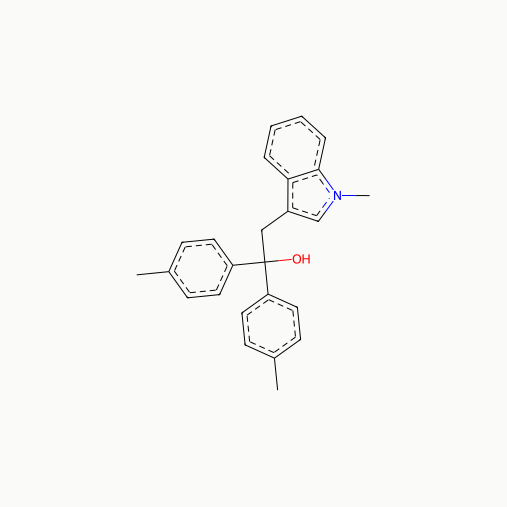 Cc1ccc(C(O)(Cc2cn(C)c3ccccc23)c2ccc(C)cc2)cc1